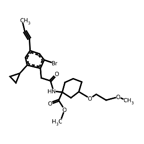 CC#Cc1cc(Br)c(CC(=O)NC2(C(=O)OC)CCCC(OCCOC)C2)c(C2CC2)c1